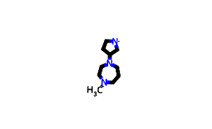 CN1CCCN(C2CC[N]C2)CC1